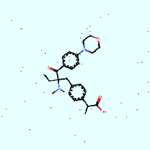 CCC(Cc1ccc(C(C)C(=O)O)cc1)(C(=O)c1ccc(N2CCOCC2)cc1)N(C)C